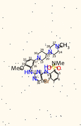 CNS(=O)(=O)c1ccccc1Nc1nc(Nc2cc(N3CCC(N4CCN(C)CC4)CC3)ccc2OC)ncc1Br